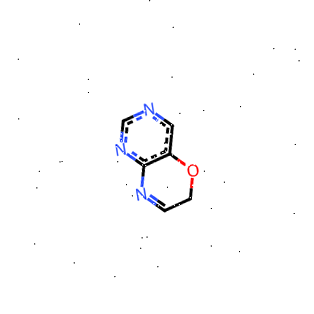 C1=Nc2ncncc2OC1